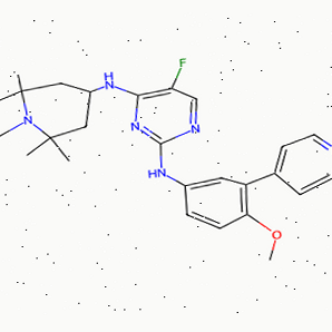 COc1ccc(Nc2ncc(F)c(NC3CC(C)(C)N(C)C(C)(C)C3)n2)cc1-c1ccncc1